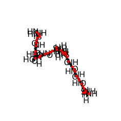 N=C1N[C@H]2[C@H](CS[C@H]2CCCCC(=O)NCCCCCC(=O)NCCNC(=O)CCCCCNC(=O)CCCC[C@@H]2SC[C@@H]3N/C(=N\N=C4/N[C@H]5[C@H](CS[C@H]5CCCCC(=O)NCCCCCC(=O)Nc5cc(NC(=O)CCCCCNC(=O)CCCC[C@@H]6SC[C@@H]7NC(=N)N[C@@H]76)cc(C(=O)O)c5)N4)N[C@@H]32)N1